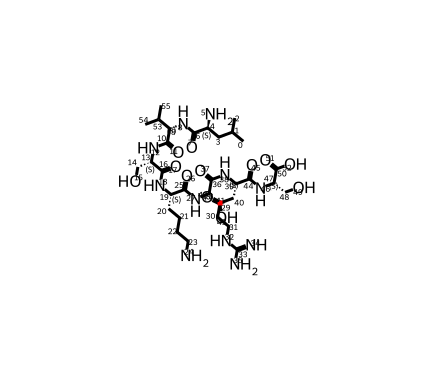 CC(C)C[C@H](N)C(=O)N[C@H](C(=O)N[C@@H](CO)C(=O)N[C@@H](CCCCN)C(=O)N[C@@H](CCCNC(=N)N)C(=O)N[C@@H](CC(=O)O)C(=O)N[C@@H](CO)C(=O)O)C(C)C